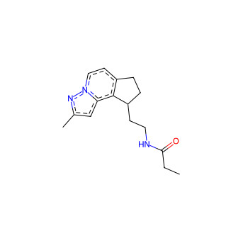 CCC(=O)NCCC1CCc2ccn3nc(C)cc3c21